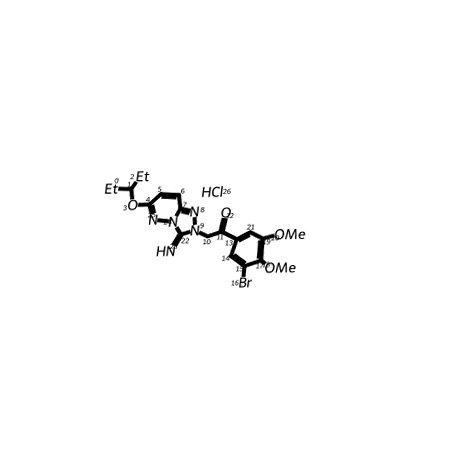 CCC(CC)Oc1ccc2nn(CC(=O)c3cc(Br)c(OC)c(OC)c3)c(=N)n2n1.Cl